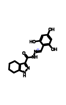 O=C(N/N=C/c1c(O)cc(O)cc1O)c1n[nH]c2c1CCCC2